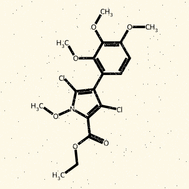 CCOC(=O)c1c(Cl)c(-c2ccc(OC)c(OC)c2OC)c(Cl)n1OC